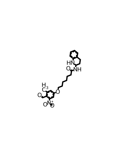 Cc1cc(OCCCCCCC(=O)NC2CCc3ccccc3N2)cc([N+](=O)[O-])c1C=O